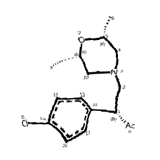 CC(=O)[C@@H](CN1C[C@@H](C)O[C@@H](C)C1)c1ccc(Cl)cc1